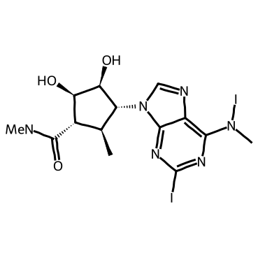 CNC(=O)[C@H]1[C@H](C)[C@@H](n2cnc3c(N(C)I)nc(I)nc32)[C@H](O)[C@@H]1O